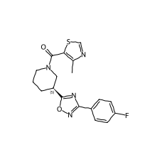 Cc1ncsc1C(=O)N1CCC[C@H](c2nc(-c3ccc(F)cc3)no2)C1